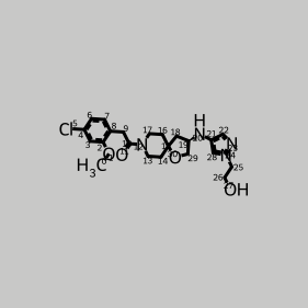 COc1cc(Cl)ccc1CC(=O)N1CCC2(CC1)C[C@@H](Nc1cnn(CCO)c1)CO2